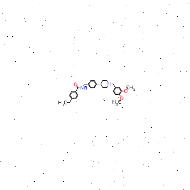 CCc1ccc(C(=O)NCc2ccc(C3CCN(Cc4ccc(OC)c(OC)c4)CC3)cc2)cc1